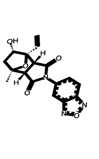 C=C[C@]12O[C@](C)(C[C@@H]1O)[C@H]1C(=O)N(c3ccc4nonc4c3)C(=O)[C@H]12